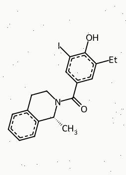 CCc1cc(C(=O)N2CCc3ccccc3[C@H]2C)cc(I)c1O